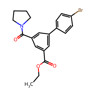 CCOC(=O)c1cc(C(=O)N2CCCC2)cc(-c2ccc(Br)cc2)c1